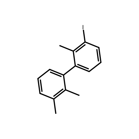 Cc1cccc(-c2cccc(I)c2C)c1C